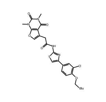 Cn1c(=O)c2c(CC(=O)Nc3nc(-c4ccc(OCC(C)(C)C)c(Cl)c4)cs3)coc2n(C)c1=O